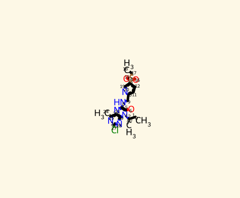 CC[C@@H](C)n1c(=O)c(NCc2ccc(S(=O)(=O)CC)cn2)nc2c(C)nc(Cl)nc21